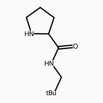 CC(C)(C)CNC(=O)C1CCCN1